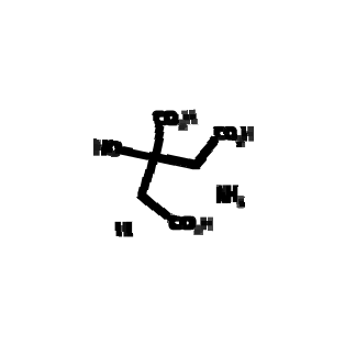 I.N.O=C(O)CC(O)(CC(=O)O)C(=O)O